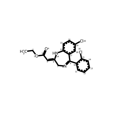 CCOC(=O)/C=C1/CN=C(c2ccccc2Cl)c2cc(Cl)ccc2N1